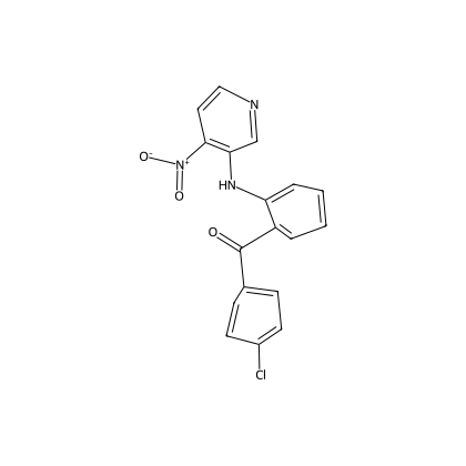 O=C(c1ccc(Cl)cc1)c1ccccc1Nc1cnccc1[N+](=O)[O-]